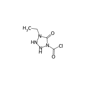 CCN1NNN(C(=O)Cl)C1=O